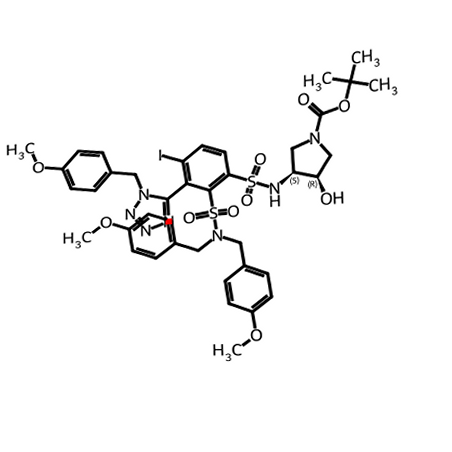 COc1ccc(CN(Cc2ccc(OC)cc2)S(=O)(=O)c2c(S(=O)(=O)N[C@H]3CN(C(=O)OC(C)(C)C)C[C@H]3O)ccc(I)c2-c2nnnn2Cc2ccc(OC)cc2)cc1